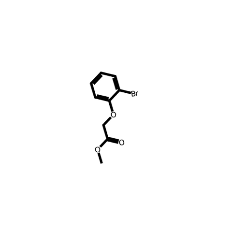 COC(=O)COc1ccccc1Br